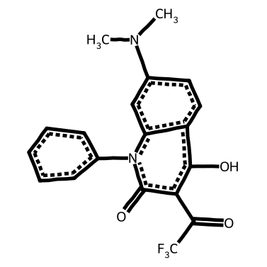 CN(C)c1ccc2c(O)c(C(=O)C(F)(F)F)c(=O)n(-c3ccccc3)c2c1